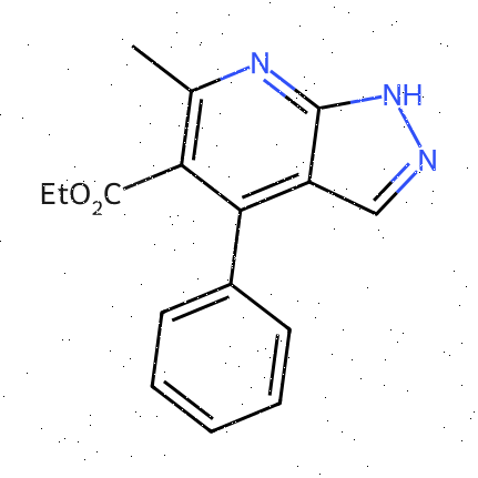 CCOC(=O)c1c(C)nc2[nH]ncc2c1-c1ccccc1